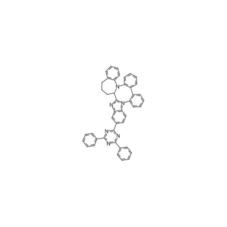 c1ccc(-c2nc(-c3ccccc3)nc(-c3ccc4c(c3)nc3n4-c4ccccc4-c4ccccc4N4c5ccccc5CCCC34)n2)cc1